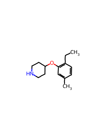 CCc1ccc(C)cc1OC1CCNCC1